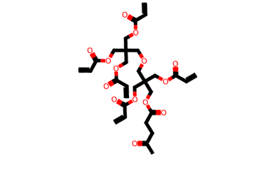 C=CC(=O)OCC(COCC(COC(=O)C=C)(COC(=O)C=C)COC(=O)CCC(C)=O)(COC(=O)C=C)COC(=O)C=C